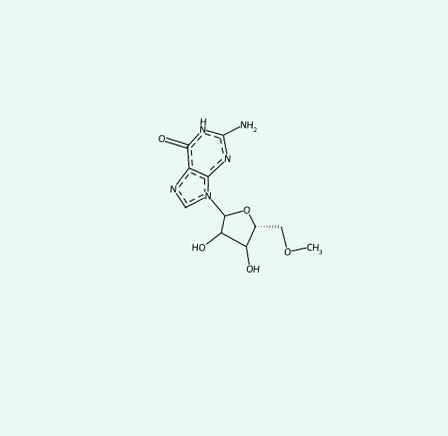 COC[C@H]1OC(n2cnc3c(=O)[nH]c(N)nc32)C(O)C1O